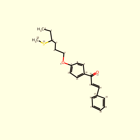 CCC(CCCOc1ccc(C(=O)C=Cc2ccccc2)cc1)SC